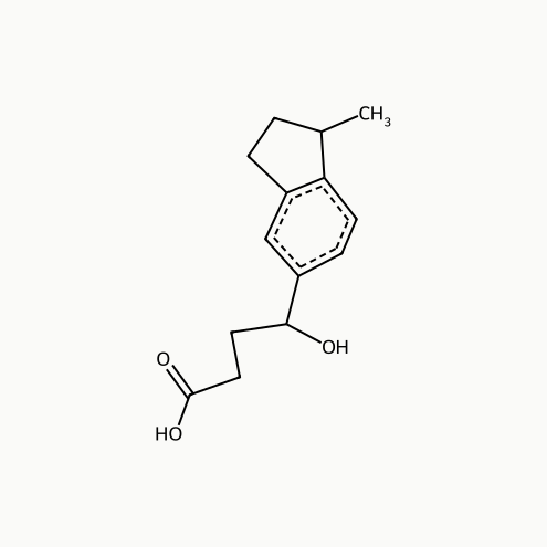 CC1CCc2cc(C(O)CCC(=O)O)ccc21